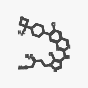 C=C(CCn1ncc(Nc2ncc3cc(Cl)c(C4CCN(C5(C)COC5)CC4)cc3n2)c1Cl)COC